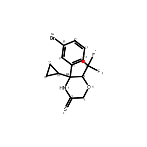 FC(F)(F)C1OCC(=S)NC1(c1cccc(Br)c1)C1CC1